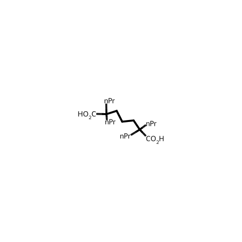 CCCC(CCC)(CCCC(CCC)(CCC)C(=O)O)C(=O)O